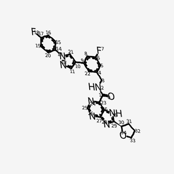 O=C(NCc1cc(F)cc(-c2cnn(-c3ccc(F)cc3)c2)c1)c1ncnc2nc([C@H]3CCCO3)[nH]c12